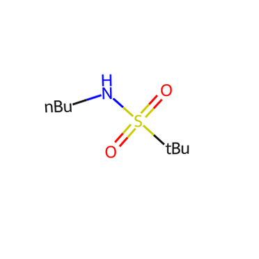 CCCCNS(=O)(=O)C(C)(C)C